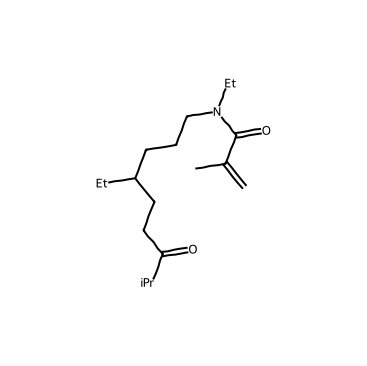 C=C(C)C(=O)N(CC)CCCC(CC)CCC(=O)C(C)C